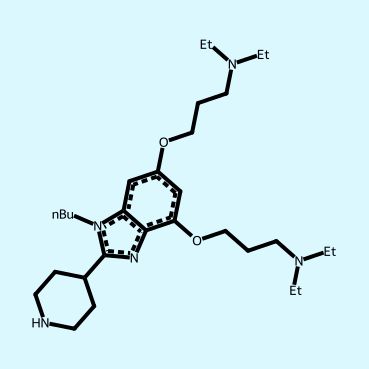 CCCCn1c(C2CCNCC2)nc2c(OCCCN(CC)CC)cc(OCCCN(CC)CC)cc21